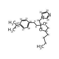 CCCCC1COC(CCc2ccc(C(C)C)cc2)(Cn2ccnc2)O1